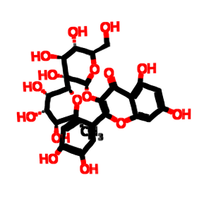 C[C@H]1O[C@@H]([C@]2(O)[C@@H](Oc3c(-c4ccc(O)c(O)c4)oc4cc(O)cc(O)c4c3=O)O[C@H](CO)[C@@H](O)[C@@H]2O)[C@@H](O)[C@@H](O)[C@@H]1O